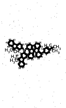 CC(C)(C)c1ccc(-c2cccc3c2-c2ccccc2C32c3ccccc3-c3c(N(c4ccc5c(c4)C(C)(C)c4ccccc4-5)c4ccc5c(c4)C(C)(C)c4ccccc4-5)cccc32)cc1